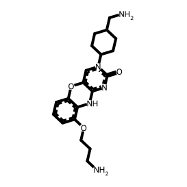 NCCCOc1cccc2c1Nc1nc(=O)n(C3CCC(CN)CC3)cc1O2